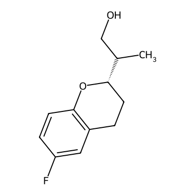 CC(CO)[C@@H]1CCc2cc(F)ccc2O1